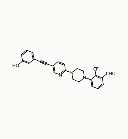 O=Cc1cccc(N2CCN(c3ccc(C#Cc4cccc(O)c4)cn3)CC2)c1C(F)(F)F